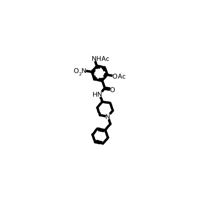 CC(=O)Nc1cc(OC(C)=O)c(C(=O)NC2CCN(CC3=CCC=CC3)CC2)cc1[N+](=O)[O-]